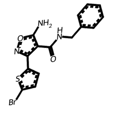 Nc1onc(-c2ccc(Br)s2)c1C(=O)NCc1ccccc1